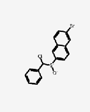 [O-][S+](c1ccc2cc(Br)ccc2c1)C(Cl)c1ccccc1